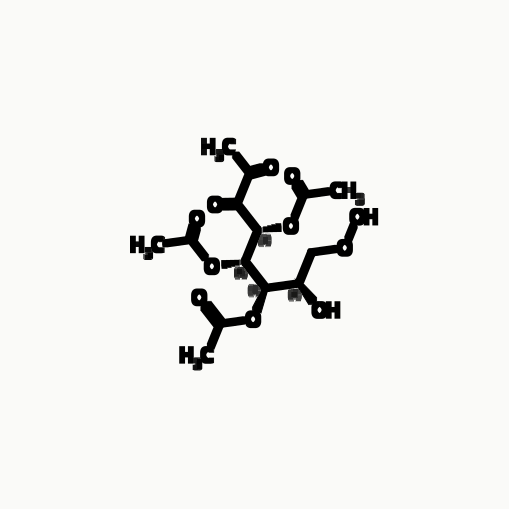 CC(=O)O[C@@H]([C@H](OC(C)=O)[C@@H](OC(C)=O)C(=O)C(C)=O)[C@H](O)COO